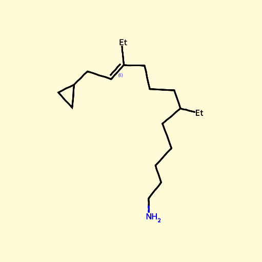 CC/C(=C\CC1CC1)CCCC(CC)CCCCCN